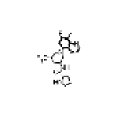 Cc1c(F)cc(N2CC(C(F)(F)F)C[C@@H](NC(=O)[C@@H]3CCCN3)C2)c2cccnc12